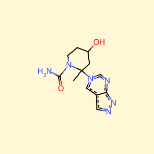 CC1(n2cnc3nncc-3c2)CC(O)CCN1C(N)=O